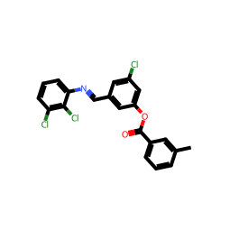 Cc1cccc(C(=O)Oc2cc(Cl)cc(C=Nc3cccc(Cl)c3Cl)c2)c1